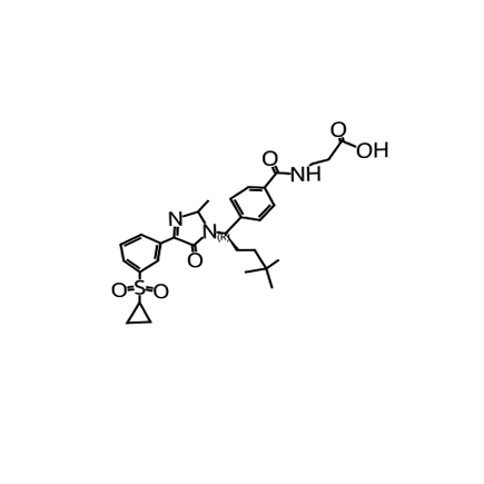 CC1N=C(c2cccc(S(=O)(=O)C3CC3)c2)C(=O)N1[C@H](CCC(C)(C)C)c1ccc(C(=O)NCCC(=O)O)cc1